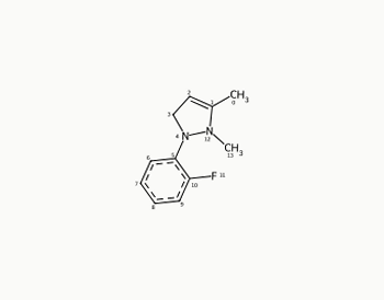 CC1=CCN(c2ccccc2F)N1C